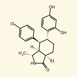 CC[C@@]12CC[C@@H](c3ccc(O)cc3O)[C@H](c3ccc(Cl)cc3)[C@@H]1[C@@H](C)NC2=O